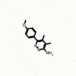 COc1ccc(-c2nnc(N)c(C)c2C)cc1